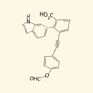 O=COc1ccc(C#Cc2cccc(C(=O)O)c2-c2ccc3cc[nH]c3c2)cc1